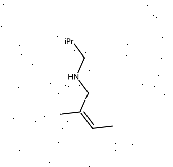 C/C=C(/C)CNCC(C)C